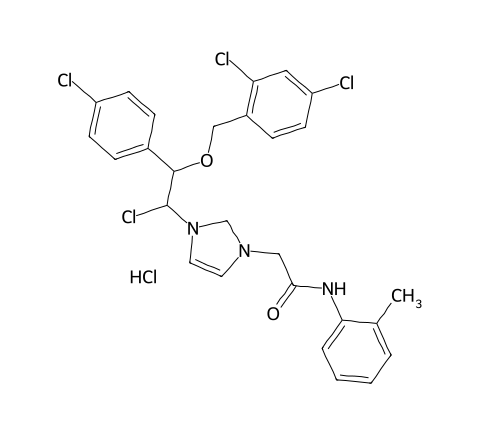 Cc1ccccc1NC(=O)CN1C=CN(C(Cl)C(OCc2ccc(Cl)cc2Cl)c2ccc(Cl)cc2)C1.Cl